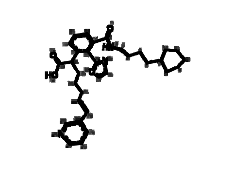 O=C(NCCCCC1CCCCC1)c1cccc(C(CCCC=Cc2cccnc2)C(=O)O)c1-c1ncco1